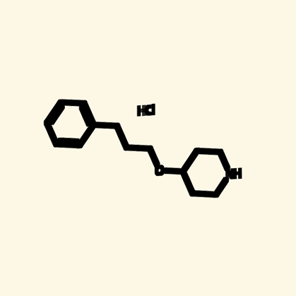 Cl.c1ccc(CCCOC2CCNCC2)cc1